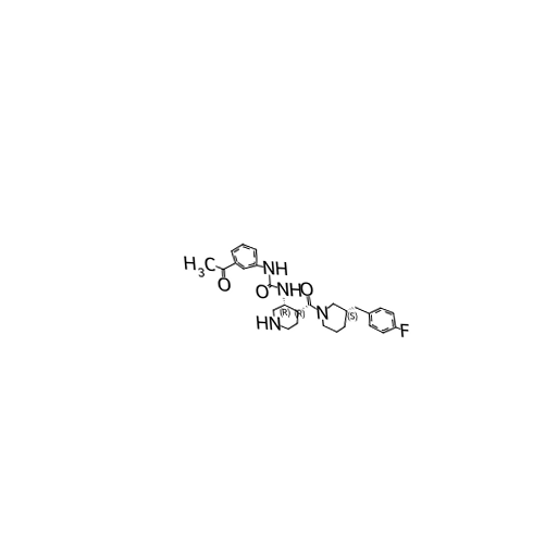 CC(=O)c1cccc(NC(=O)N[C@H]2CNCC[C@H]2C(=O)N2CCC[C@@H](Cc3ccc(F)cc3)C2)c1